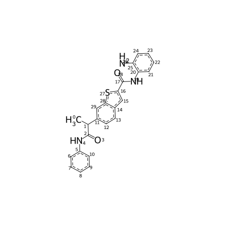 CC(C(=O)Nc1ccccc1)c1ccc2cc(C(=O)Nc3ccccc3N)sc2c1